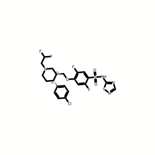 O=S(=O)(Nc1ncns1)c1cc(F)c(OC[C@@H]2CN(CC(F)F)CC[C@H]2c2ccc(Cl)cc2)cc1F